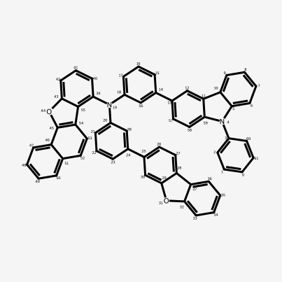 c1ccc(-n2c3ccccc3c3cc(-c4cccc(N(c5cccc(-c6ccc7c(c6)oc6ccccc67)c5)c5cccc6oc7c8ccccc8ccc7c56)c4)ccc32)cc1